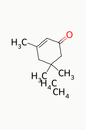 C.C.CC1=CC(=O)CC(C)(C)C1